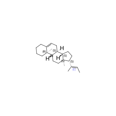 C/C=C(\C)[C@H]1CC[C@H]2[C@@H]3CC=C4CCCC[C@]4(C)[C@H]3CC[C@]12C